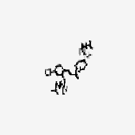 C=NN(Cc1cc(Cl)ccc1/C=C/C(=C)N1CCC(N(C)/N=N\C(=C)C)CC1)N=C(C)C